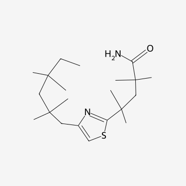 CCC(C)(C)CC(C)(C)Cc1csc(C(C)(C)CC(C)(C)C(N)=O)n1